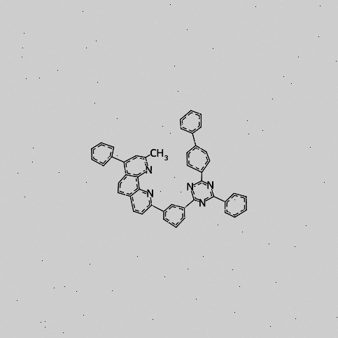 Cc1cc(-c2ccccc2)c2ccc3ccc(-c4cccc(-c5nc(-c6ccccc6)nc(-c6ccc(-c7ccccc7)cc6)n5)c4)nc3c2n1